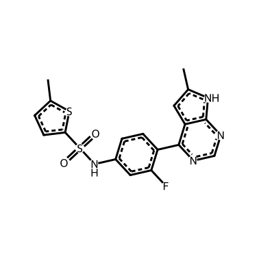 Cc1cc2c(-c3ccc(NS(=O)(=O)c4ccc(C)s4)cc3F)ncnc2[nH]1